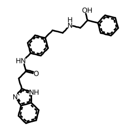 O=C(Cc1nc2ccccc2[nH]1)Nc1ccc(CCNCC(O)c2ccccc2)cc1